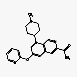 CN1CCC(N2CC(Oc3ccccn3)=Cc3cc(C(N)=O)ncc32)CC1